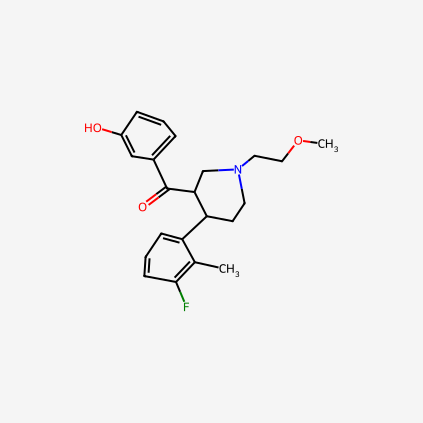 COCCN1CCC(c2cccc(F)c2C)C(C(=O)c2cccc(O)c2)C1